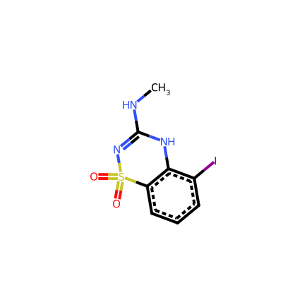 CNC1=NS(=O)(=O)c2cccc(I)c2N1